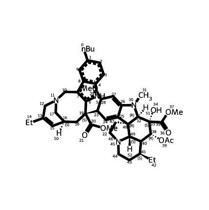 CCCCc1ccc2[nH]c3c(c2c1)CN1CC(CC)=C[C@@H](C1)C[C@]3(C(=O)OC)C1C=C2C(=CC1OC)N(C)[C@H]1[C@@](O)(C(=O)OC)[C@H](OC(C)=O)C3[C@@H](CC)CCN4CC[C@]21[C@H]34